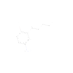 CCCCCc1cc(N)ccc1Br